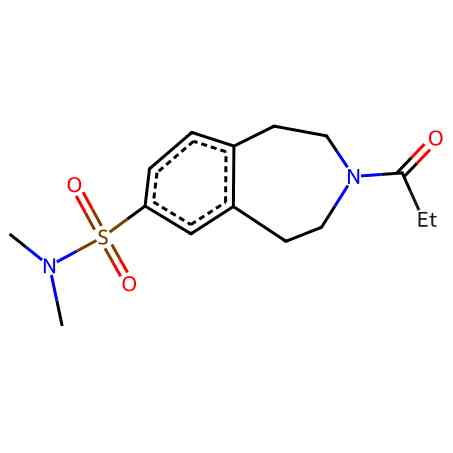 CCC(=O)N1CCc2ccc(S(=O)(=O)N(C)C)cc2CC1